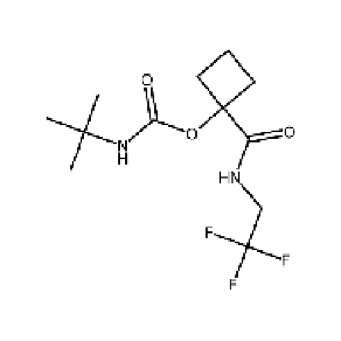 CC(C)(C)NC(=O)OC1(C(=O)NCC(F)(F)F)CCC1